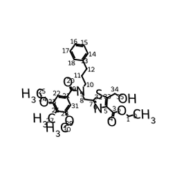 CCOC(=O)c1nc(CN(CCCc2ccccc2)C(=O)c2cc(OC)c(C)c(OC)c2)sc1CO